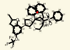 CC1Cc2cc(OC(F)(F)F)cc([C@H]3CO[C@]4(CC[C@@H]5C(S(=O)(=O)c6ccccc6)C[C@]4(c4ccccc4)N5Cc4ccccc4)C3)c2O1